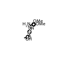 COc1cc2nc(N3CCN(C(=O)CC(C)O)CC3)nc(N)c2cc1OC